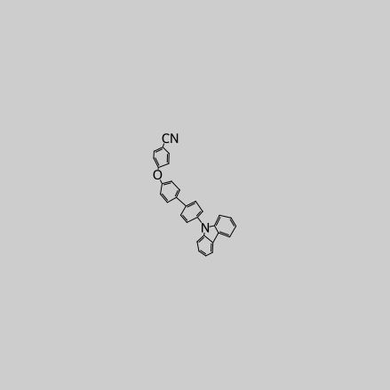 N#Cc1ccc(Oc2ccc(-c3ccc(-n4c5ccccc5c5ccccc54)cc3)cc2)cc1